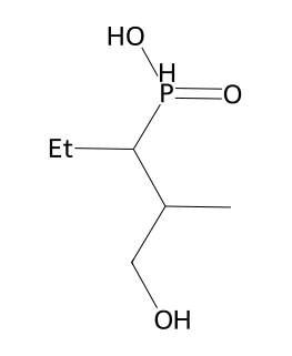 CCC(C(C)CO)[PH](=O)O